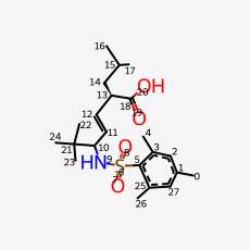 Cc1cc(C)c(S(=O)(=O)NC(/C=C/[C@@H](CC(C)C)C(=O)O)C(C)(C)C)c(C)c1